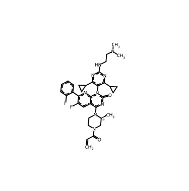 C=CC(=O)N1CCN(c2nc(=O)n(-c3c(C4CC4)nc(NCCN(C)C)nc3C3CC3)c3nc(-c4ccccc4F)c(F)cc23)[C@@H](C)C1